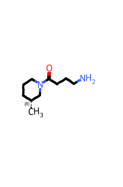 C[C@@H]1CCCN(C(=O)CCCN)C1